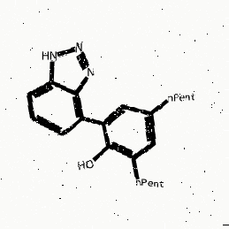 CCCCCc1cc(CCCCC)c(O)c(-c2cccc3[nH]nnc23)c1